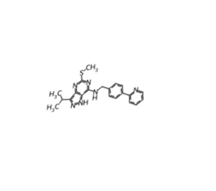 CSc1nc(NCc2ccc(-c3ccccn3)cc2)c2[nH]nc(C(C)C)c2n1